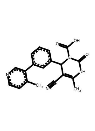 CC1=C(C#N)C(c2cccc(-c3cnccc3C)c2)N(C(=O)O)C(=O)N1